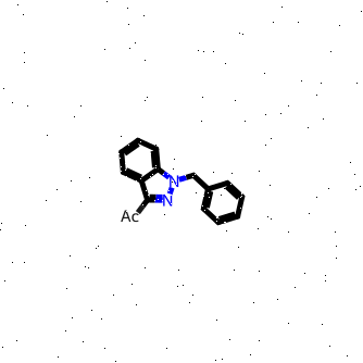 CC(=O)c1nn(Cc2ccccc2)c2ccccc12